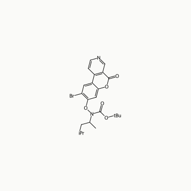 CC(C)CC(C)N(Oc1cc2oc(=O)c3cnccc3c2cc1Br)C(=O)OC(C)(C)C